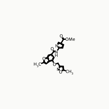 COC(=O)c1ccc(NC(=O)c2cc(OCc3cc(C)on3)c3cc(C)oc3c2)nc1